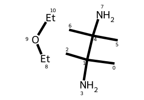 CC(C)(N)C(C)(C)N.CCOCC